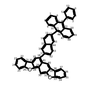 c1ccc(-c2c3ccccc3c(-c3ccc4cc(-c5cc6c7ccccc7oc6c6cc7oc8ccccc8c7cc56)ccc4c3)c3ccccc23)cc1